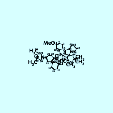 COc1ccc2c3c(c4c(c2c1)OC(c1ccccc1)(c1ccc(N2CC(C)OC(C)C2)cc1)C=C4)C1(CC(C)(C)CC(C)(C)C1)c1ccccc1-3